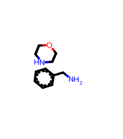 C1COCCN1.NCc1ccccc1